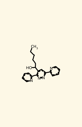 CCCCCC(O)c1cc(-c2ccccn2)nnc1-c1ccccn1